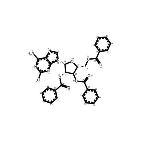 Nc1nc(Cl)nc2c1ncn2[C@@H]1O[C@H](COC(=O)c2ccccc2)C(OC(=O)c2ccccc2)[C@@H]1OC(=O)c1ccccc1